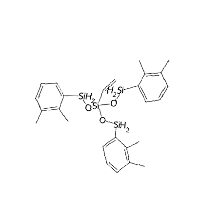 C=C[Si](O[SiH2]c1cccc(C)c1C)(O[SiH2]c1cccc(C)c1C)O[SiH2]c1cccc(C)c1C